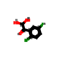 O=C(c1cc(F)ccc1Br)C(O)O